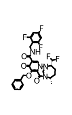 C[C@H]1CC[C@@H](C(F)F)N2CN1C(=O)c1c(OCc3ccccc3)c(=O)c(C(=O)NCc3c(F)cc(F)cc3F)cn12